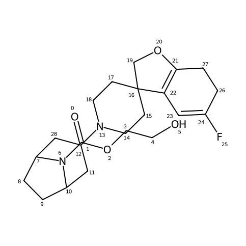 O=C(OCCO)N1C2CCC1CC(N1CCC3(CC1)COC1=C3C=C(F)CC1)C2